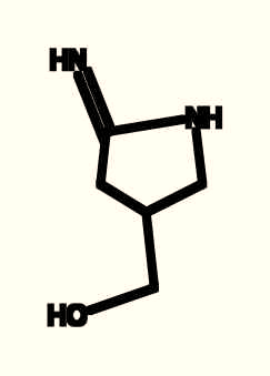 N=C1CC(CO)CN1